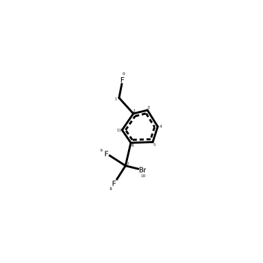 FCc1cccc(C(F)(F)Br)c1